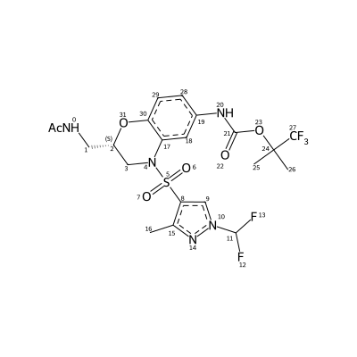 CC(=O)NC[C@H]1CN(S(=O)(=O)c2cn(C(F)F)nc2C)c2cc(NC(=O)OC(C)(C)C(F)(F)F)ccc2O1